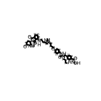 CCCCN(Cc1ccc(C(=O)NO)cc1)C(=O)Nc1ccc(OCCCn2cc(CCNc3cccc4c3C(=O)N(C3CCC(=O)NC3=O)C4=O)nn2)cc1